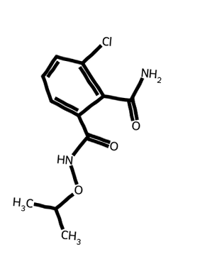 CC(C)ONC(=O)c1cccc(Cl)c1C(N)=O